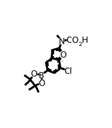 CN(C(=O)O)c1cc2cc(B3OC(C)(C)C(C)(C)O3)cc(Cl)c2o1